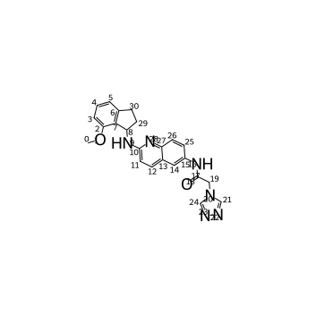 COc1cccc2c1C(Nc1ccc3cc(NC(=O)Cn4cnnc4)ccc3n1)CC2